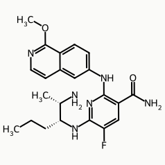 CCC[C@@H](Nc1nc(Nc2ccc3c(OC)nccc3c2)c(C(N)=O)cc1F)[C@H](C)N